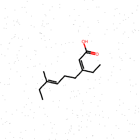 CCC(C)=CCCC(=CC(=O)O)CC